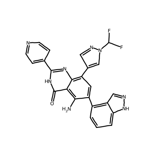 Nc1c(-c2cccc3[nH]ncc23)cc(-c2cnn(C(F)F)c2)c2nc(-c3ccncc3)[nH]c(=O)c12